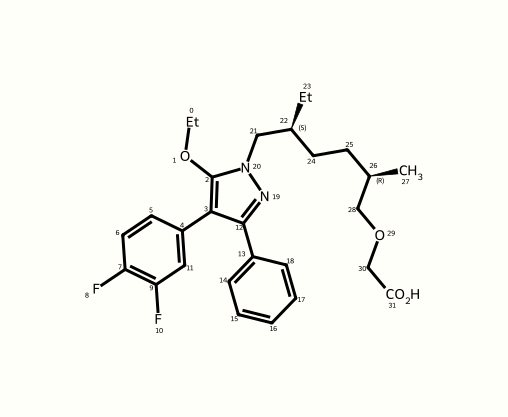 CCOc1c(-c2ccc(F)c(F)c2)c(-c2ccccc2)nn1C[C@@H](CC)CC[C@@H](C)COCC(=O)O